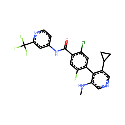 CNc1cncc(C2CC2)c1-c1cc(Cl)c(C(=O)Nc2ccnc(C(F)(F)F)c2)cc1F